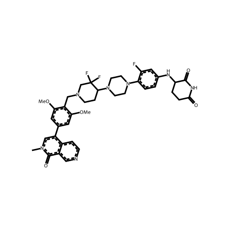 COc1cc(-c2cn(C)c(=O)c3cnccc23)cc(OC)c1CN1CCC(N2CCN(c3ccc(NC4CCC(=O)NC4=O)cc3F)CC2)C(F)(F)C1